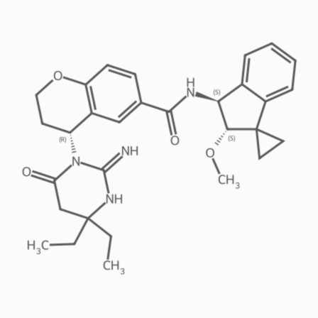 CCC1(CC)CC(=O)N([C@@H]2CCOc3ccc(C(=O)N[C@H]4c5ccccc5C5(CC5)[C@@H]4OC)cc32)C(=N)N1